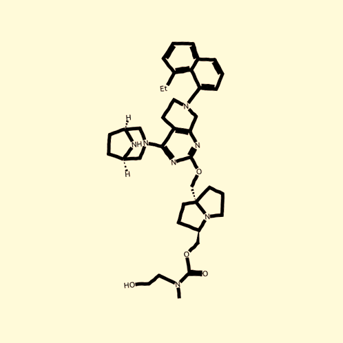 CCc1cccc2cccc(N3CCc4c(nc(OC[C@]56CCCN5[C@@H](COC(=O)N(C)CCO)CC6)nc4N4C[C@H]5CC[C@@H](C4)N5)C3)c12